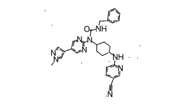 Cn1cc(-c2cnc(N(C(=O)NCc3ccccc3)C3CCC(Nc4ccc(C#N)cn4)CC3)nc2)cn1